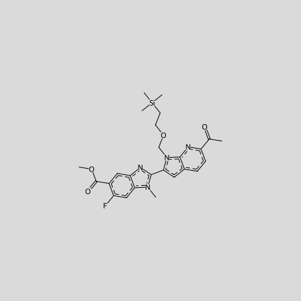 COC(=O)c1cc2nc(-c3cc4ccc(C(C)=O)nc4n3COCC[Si](C)(C)C)n(C)c2cc1F